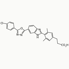 Cc1cc(CCC(=O)O)cc(C)c1-c1nc2ccc(-c3nnc(-c4ccc(Cl)cc4)o3)cc2[nH]1